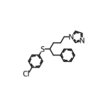 Clc1ccc(SC(CCCn2ccnc2)Cc2ccccc2)cc1